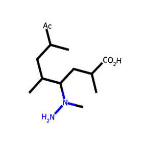 CC(=O)C(C)CC(C)C(CC(C)C(=O)O)N(C)N